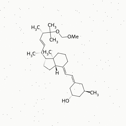 COCOC(C)(C)[C@@H](C)/C=C/[C@@H](C)[C@H]1CC[C@H]2/C(=C/C=C3/C[C@@H](C)C[C@H](O)C3)CCC[C@]12C